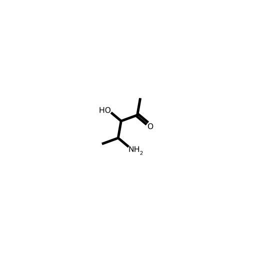 CC(=O)C(O)C(C)N